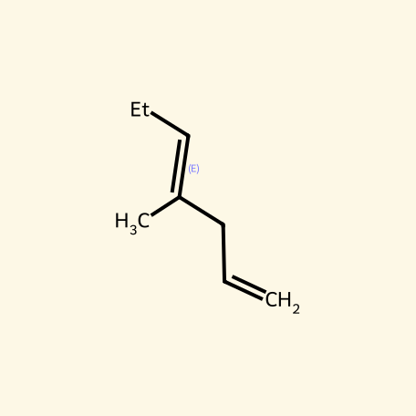 [CH2]C/C=C(\C)CC=C